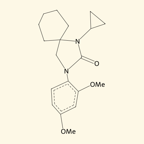 COc1ccc(N2CC3(CCCCC3)N(C3CC3)C2=O)c(OC)c1